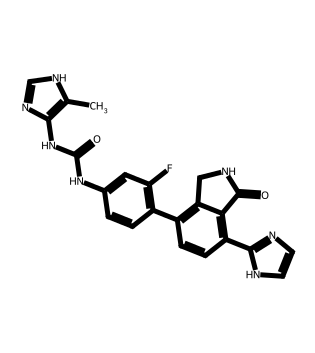 Cc1[nH]cnc1NC(=O)Nc1ccc(-c2ccc(-c3ncc[nH]3)c3c2CNC3=O)c(F)c1